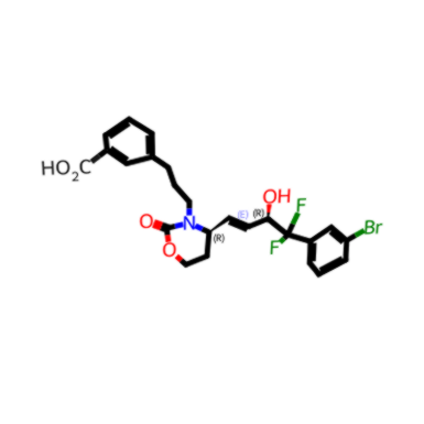 O=C(O)c1cccc(CCCN2C(=O)OCC[C@@H]2/C=C/[C@@H](O)C(F)(F)c2cccc(Br)c2)c1